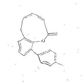 C=C1/C=C\C=C/Cc2cccc(-c3ccc(C)cc3)c2O1